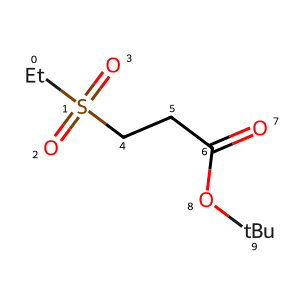 [CH2]CS(=O)(=O)CCC(=O)OC(C)(C)C